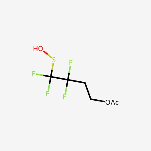 CC(=O)OCCC(F)(F)C(F)(F)SO